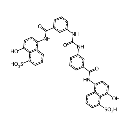 O=C(Nc1cccc(C(=O)Nc2ccc(O)c3c(S(=O)(=O)O)cccc23)c1)Nc1cccc(C(=O)Nc2ccc(O)c3c(S(=O)(=O)O)cccc23)c1